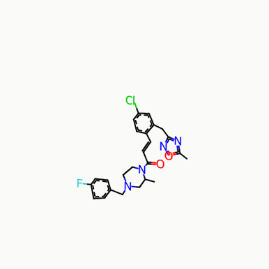 Cc1nc(Cc2cc(Cl)ccc2/C=C/C(=O)N2CCN(Cc3ccc(F)cc3)CC2C)no1